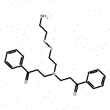 NCCSSCCN(CCC(=O)c1ccccc1)CCC(=O)c1ccccc1